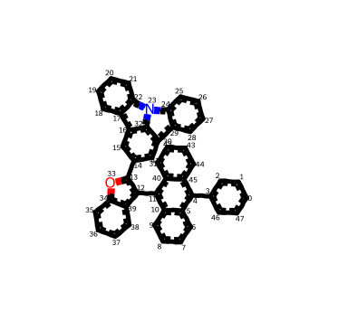 c1ccc(-c2c3ccccc3c(-c3c(-c4cc5c6ccccc6n6c7ccccc7c(c4)c56)oc4ccccc34)c3ccccc23)cc1